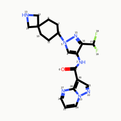 O=C(Nc1cn(C2CCC3(CC2)CNC3)nc1C(F)F)c1cnn2cccnc12